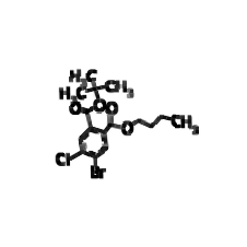 CCCCOC(=O)c1cc(Br)c(Cl)cc1C(=O)OC(C)(C)C